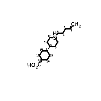 C=CCCC[SiH]1CCC([C@H]2CC[C@H](C(=O)O)CC2)CC1